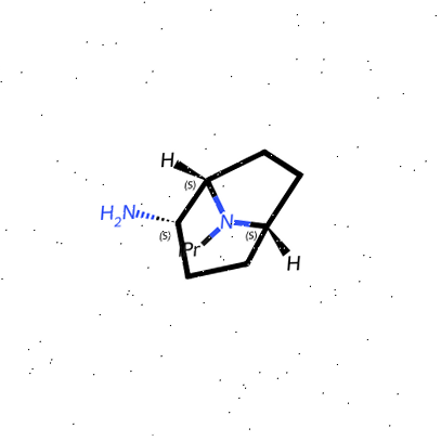 CC(C)N1[C@H]2CC[C@H](N)[C@@H]1CC2